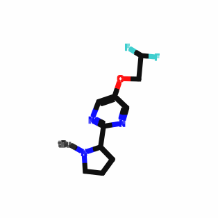 CC(C)(C)N1CCCC1c1ncc(OCC(F)F)cn1